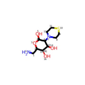 NCC1OC(O)C(N2CCSCC2)C(O)[C@H]1O